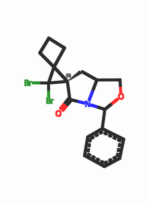 O=C1N2C(COC2c2ccccc2)C[C@@]12C(Br)(Br)C21CCC1